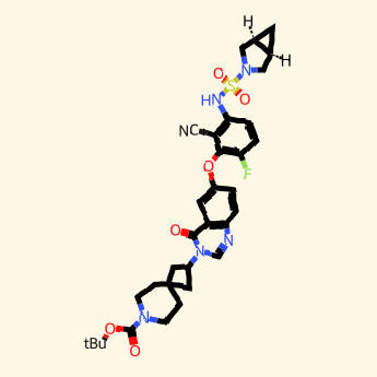 CC(C)(C)OC(=O)N1CCC2(CC1)CC(n1cnc3ccc(Oc4c(F)ccc(NS(=O)(=O)N5C[C@H]6C[C@H]6C5)c4C#N)cc3c1=O)C2